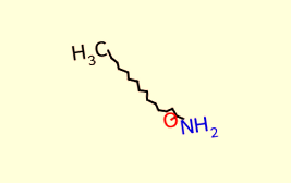 CCCCCCCCCCCCCC1CC(CN)O1